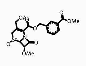 COC(=O)c1cccc(COC(=O)C2=C(COC(C)=O)C[S+]([O-])C3[C@H](OC)C(=O)N23)c1